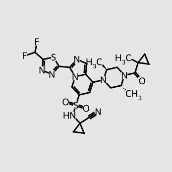 C[C@@H]1CN(c2cc(S(=O)(=O)NC3(C#N)CC3)cn3c(-c4nnc(C(F)F)s4)ncc23)[C@@H](C)CN1C(=O)C1(C)CC1